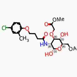 COC(=O)CO[C@H]1[C@H](O)[C@@H](COC(C)=O)O[C@H](O)[C@@H]1NC(=O)CCCOc1ccc(Cl)cc1C